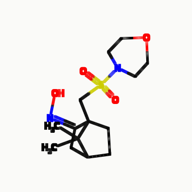 CC1(C)C2CCC1(CS(=O)(=O)N1CCOCC1)C(=NO)C2